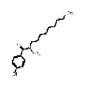 CCCCCCCCCCCCCCCCCCN(N)C(=O)c1ccc(O)cc1